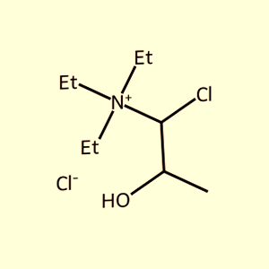 CC[N+](CC)(CC)C(Cl)C(C)O.[Cl-]